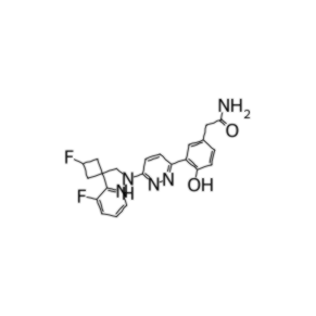 NC(=O)Cc1ccc(O)c(-c2ccc(NCC3(c4ncccc4F)CC(F)C3)nn2)c1